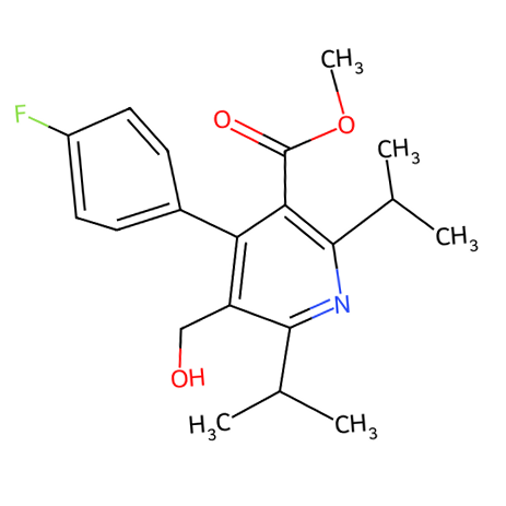 COC(=O)c1c(C(C)C)nc(C(C)C)c(CO)c1-c1ccc(F)cc1